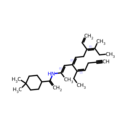 C#CC\C=C(CC)/C(=C\C/C(C=C)=C(/C)CC)/C=C(\C)NC(=C)C1CCC(C)(C)CC1